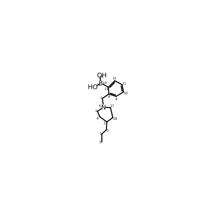 CCCC1CCN(Cc2ccccc2B(O)O)CC1